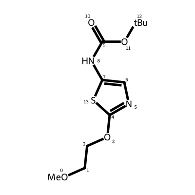 COCCOc1ncc(NC(=O)OC(C)(C)C)s1